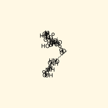 CCCCC(CCCCCCC(=O)NCCNC(=O)c1ccc(NN=Cc2ccccc2S(=O)(=O)O)nc1)OC(=O)OCc1ccc(NC(=O)[C@H](CC(C)C)NC(=O)[C@H](Cc2ccc(O)cc2)NC(=O)[C@H](CCc2ccccc2)NC(=O)CNC(=O)[C@H](CC(C)C)NC(=O)[C@@H]2CCCN2C(C)=O)cc1